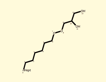 CCCCCCCCCCCCCOOCC(O)CO